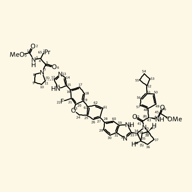 COC(=O)NC(C(=O)N1CCC[C@H]1c1ncc(-c2ccc3c(c2F)OCc2cc(-c4ccc5nc([C@@H]6[C@H]7CC[C@H](C7)N6C(=O)[C@H](NC(=O)OC)c6ccc(C7CCC7)cc6)[nH]c5c4)ccc2-3)[nH]1)C(C)C